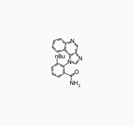 CCCCc1cccc(C(N)=O)c1-n1cnc2cnc3ccccc3c21